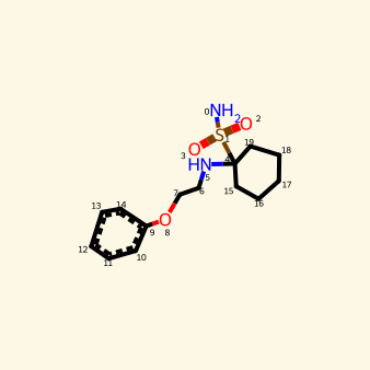 NS(=O)(=O)C1(NCCOc2ccccc2)CCCCC1